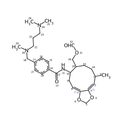 CC1/C=C2/OCO/C2=C/CC(NC(=O)c2ccc(CN(C)CCCN(C)C)cc2)C(COC=O)CC1